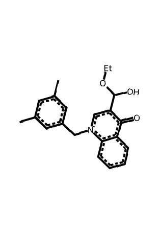 CCOC(O)c1cn(Cc2cc(C)cc(C)c2)c2ccccc2c1=O